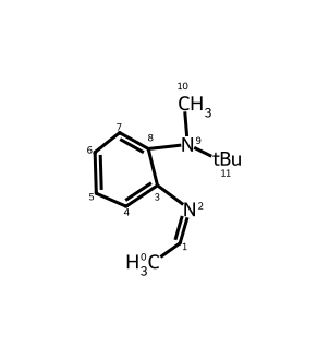 C/C=N\c1ccccc1N(C)C(C)(C)C